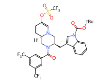 CC(C)(C)OC(=O)n1cc(C[C@@H]2CN3C=C(OS(=O)(=O)C(F)(F)F)CC[C@@H]3CN2C(=O)c2cc(C(F)(F)F)cc(C(F)(F)F)c2)c2ccccc21